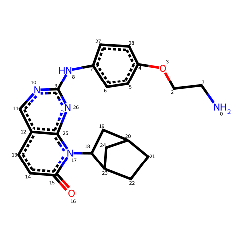 NCCOc1ccc(Nc2ncc3ccc(=O)n(C4CC5CCC4C5)c3n2)cc1